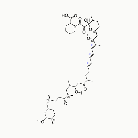 COC1CC(C[C@@H](C)CCC(=O)[C@H](C)CC(C)C(CC(=O)C(C)CC/C=C/C=C/C=C(\C)[C@H](C[C@@H]2CCC(C)C(O)(C(=O)C(=O)N3CCCCC3C(=O)O)O2)OC)OI)CC[C@H]1C